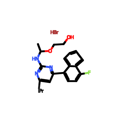 Br.CC(Nc1nc(-c2ccc(F)c3ccccc23)cc(C(C)C)n1)OCCO